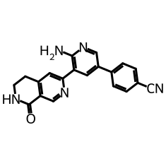 N#Cc1ccc(-c2cnc(N)c(-c3cc4c(cn3)C(=O)NCC4)c2)cc1